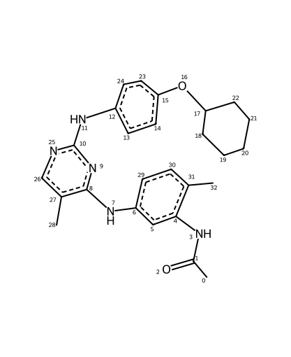 CC(=O)Nc1cc(Nc2nc(Nc3ccc(OC4CCCCC4)cc3)ncc2C)ccc1C